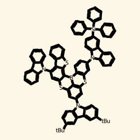 CC(C)(C)c1ccc2c(c1)c1cc(C(C)(C)C)ccc1n2-c1cc2c3c(c1)Sc1cc(-n4c5ccccc5c5ccccc54)c4c(sc5ccccc54)c1B3c1ccc(-n3c4ccccc4c4cc([Si](c5ccccc5)(c5ccccc5)c5ccccc5)ccc43)cc1S2